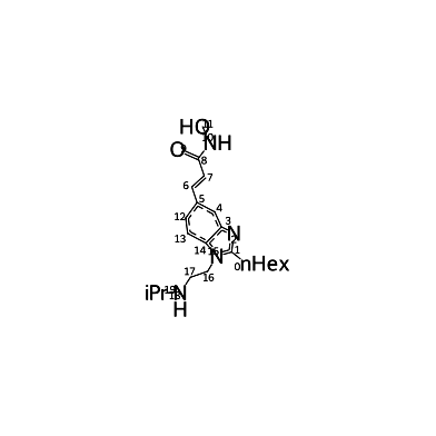 CCCCCCc1nc2cc(C=CC(=O)NO)ccc2n1CCNC(C)C